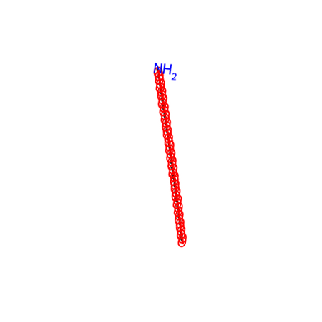 COCCOCCOCCOCCOCCOCCOCCOCCOCCOCCOCCOCCOCCOCCOCCOCCOCCOCCOCCOCCOCCOCCOCCOCCOCCOCCOCCOCCOCCOCCOCCOCCOCCOCCOCCOCCOCCOCCOCCOCCOCCOCCOCCOCCOCCN